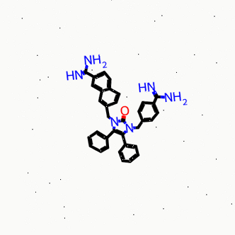 N=C(N)c1ccc(Cn2c(-c3ccccc3)c(-c3ccccc3)n(Cc3ccc4ccc(C(=N)N)cc4c3)c2=O)cc1